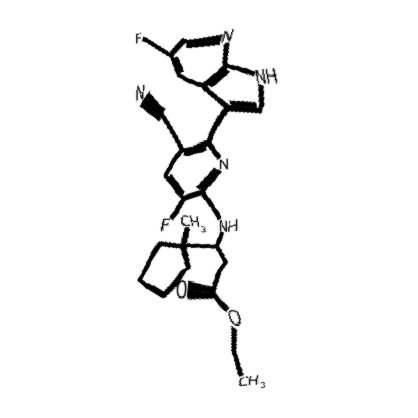 CCOC(=O)CC(Nc1nc(-c2c[nH]c3ncc(F)cc23)c(C#N)cc1F)C1(C)CCCC1